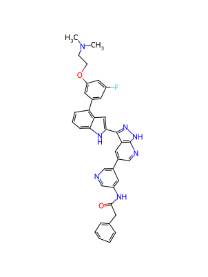 CN(C)CCOc1cc(F)cc(-c2cccc3[nH]c(-c4n[nH]c5ncc(-c6cncc(NC(=O)Cc7ccccc7)c6)cc45)cc23)c1